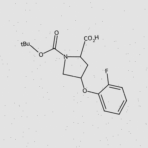 CC(C)(C)OC(=O)N1CC(Oc2ccccc2F)CC1C(=O)O